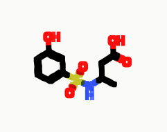 CC(CC(=O)O)NS(=O)(=O)c1cccc(O)c1